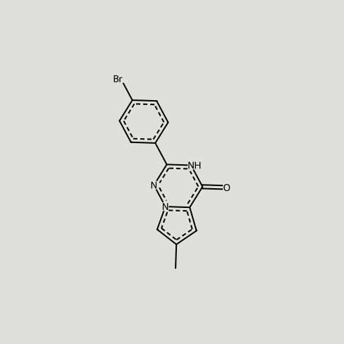 Cc1cc2c(=O)[nH]c(-c3ccc(Br)cc3)nn2c1